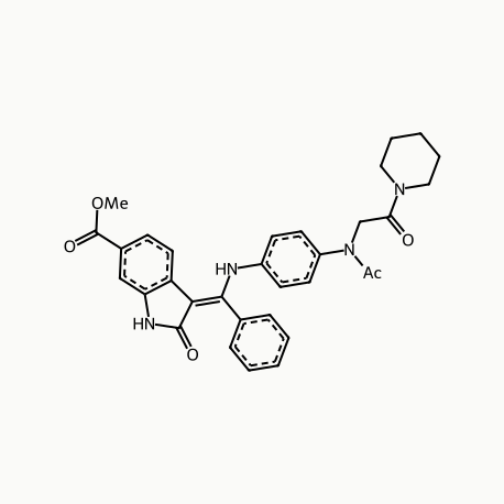 COC(=O)c1ccc2c(c1)NC(=O)C2=C(Nc1ccc(N(CC(=O)N2CCCCC2)C(C)=O)cc1)c1ccccc1